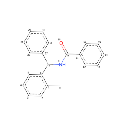 Cc1ccccc1C(NC(=O)c1ccccc1)c1ccccc1